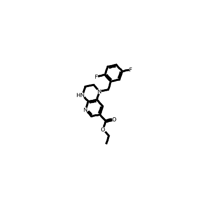 CCOC(=O)c1cnc2c(c1)N(Cc1cc(F)ccc1F)CCN2